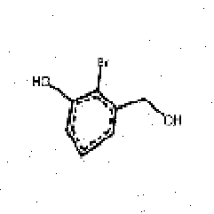 OCc1cccc(O)c1Br